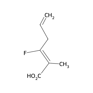 C=CCC(F)=C(C)C(=O)O